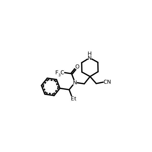 CCC(c1ccccc1)N(CC1(CC#N)CCNCC1)C(=O)C(F)(F)F